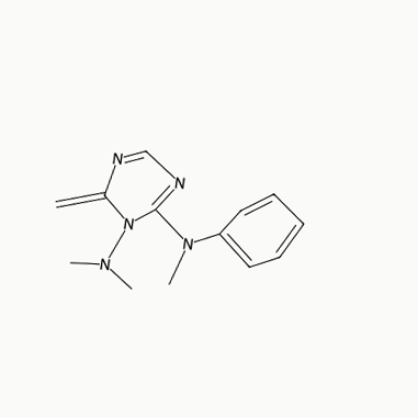 C=C1N=CN=C(N(C)c2ccccc2)N1N(C)C